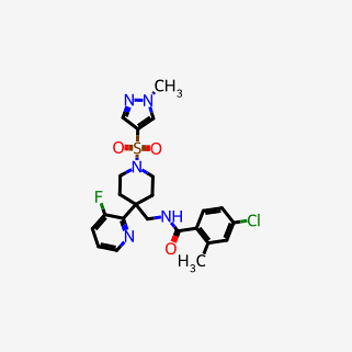 Cc1cc(Cl)ccc1C(=O)NCC1(c2ncccc2F)CCN(S(=O)(=O)c2cnn(C)c2)CC1